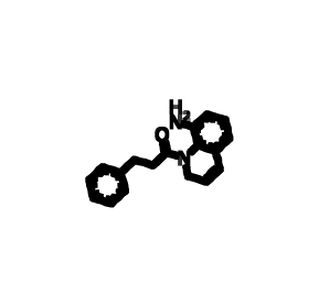 Nc1cccc2c1N(C(=O)CCc1ccccc1)CC=C2